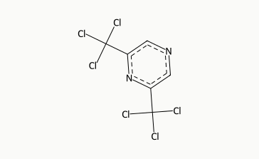 ClC(Cl)(Cl)c1cncc(C(Cl)(Cl)Cl)n1